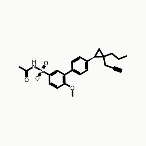 C#CCC1(CCC)C[C@@H]1c1ccc(-c2cc(S(=O)(=O)NC(C)=O)ccc2OC)cc1